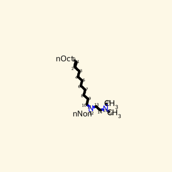 CCCCCCCCC=CCCCCCCCCN(CCCCCCCCC)CCN(C)C